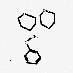 C1CCOCC1.C1CCOCC1.COc1ccccc1